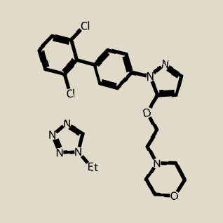 CCn1cnnn1.Clc1cccc(Cl)c1-c1ccc(-n2nccc2OCCN2CCOCC2)cc1